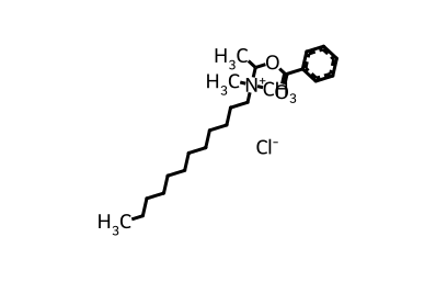 CCCCCCCCCCCC[N+](C)(C)C(C)OC(=O)c1ccccc1.[Cl-]